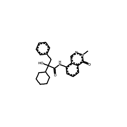 Cn1ncc2c(NC(=O)C(O)(Cc3ccccc3)C3CCCCC3)cccc2c1=O